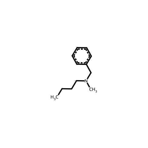 CCC[CH]N(C)Cc1ccccc1